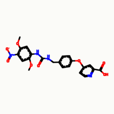 COc1cc([N+](=O)[O-])c(OC)cc1NC(=O)NCc1ccc(Oc2ccnc(C(=O)O)c2)cc1